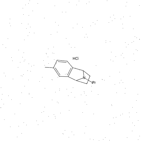 Cc1ccc2c(c1)C1CCC2N1C(C)C.Cl